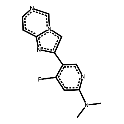 CN(C)c1cc(F)c(-c2cn3cnccc3n2)cn1